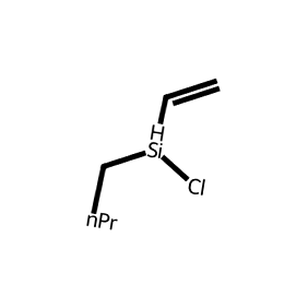 C=C[SiH](Cl)CCCC